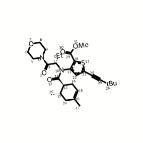 CC[C@@H](C(=O)N1CCOCC1)N(C(=O)[C@H]1CC=C(C)C[C@@H]1C)c1cc(C#CC(C)(C)C)sc1C(=O)OC